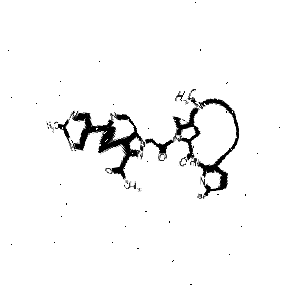 CC(=O)c1nn(CC(=O)N2C3C[C@]34C[C@H]2C(=O)Nc2nc(Br)ccc2CCCCCCCN(C)C4)c2cnc(-c3cnc(C)nc3)cc12